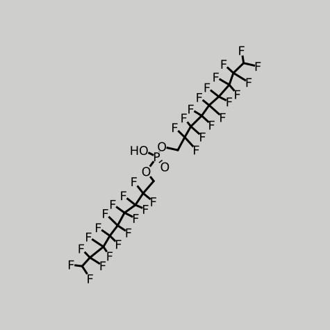 O=P(O)(OCC(F)(F)C(F)(F)C(F)(F)C(F)(F)C(F)(F)C(F)(F)C(F)(F)C(F)F)OCC(F)(F)C(F)(F)C(F)(F)C(F)(F)C(F)(F)C(F)(F)C(F)(F)C(F)F